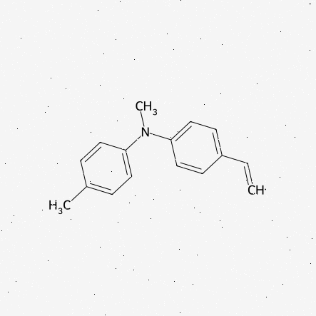 [CH]=Cc1ccc(N(C)c2ccc(C)cc2)cc1